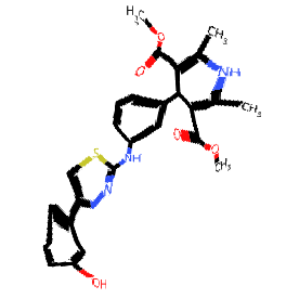 COC(=O)C1=C(C)NC(C)=C(C(=O)OC)C1c1cccc(Nc2nc(-c3cccc(O)c3)cs2)c1